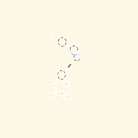 COc1ccc(C#Cc2cnn3ccc(-c4ccc(Cl)cc4)nc23)cc1S(=O)(=O)NC(C)(C)CO